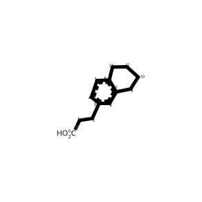 O=C(O)CCc1ccc2c(c1)CCCC2